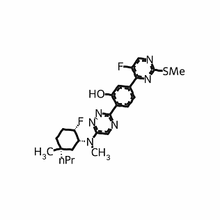 CCC[C@]1(C)CC[C@H](F)[C@H](N(C)c2cnc(-c3ccc(-c4nc(SC)ncc4F)cc3O)nn2)C1